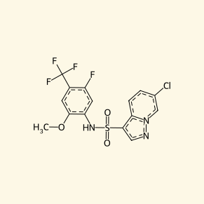 COc1cc(C(F)(F)F)c(F)cc1NS(=O)(=O)c1cnn2cc(Cl)ccc12